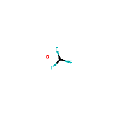 FC(F)F.[O]